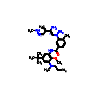 C=CCN(C)c1cc(C(C)(C)C)cc(NC(=O)c2ccc(C)c(N(N)/C=C(\N)C(=C)/C=N\NC)c2)c1OC